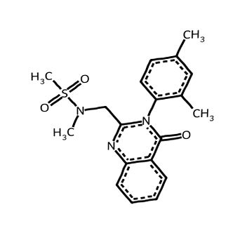 Cc1ccc(-n2c(CN(C)S(C)(=O)=O)nc3ccccc3c2=O)c(C)c1